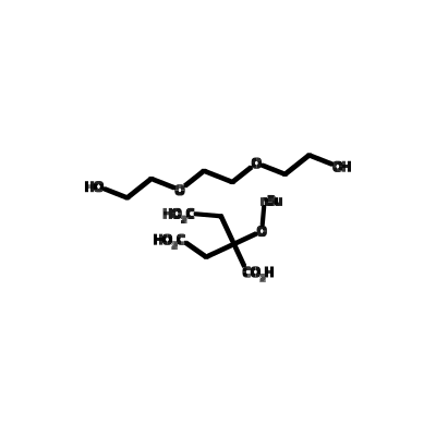 CCCCOC(CC(=O)O)(CC(=O)O)C(=O)O.OCCOCCOCCO